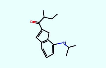 CCC(C)C(=O)C1=Cc2cccc(NC(C)C)c2C1